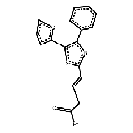 CCC(=O)C/C=C/c1nc(-c2ccccc2)c(-c2ccco2)s1